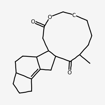 CC1CCCCCOC(=O)CC2C(CC3=C4CCCC4CCC32)C1=O